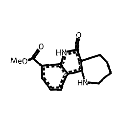 COC(=O)c1cccc2c3c(c(=O)[nH]c12)CCCCN3